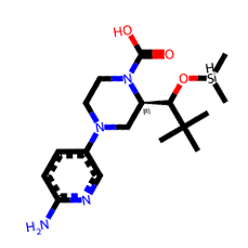 C[SiH](C)OC([C@H]1CN(c2ccc(N)nc2)CCN1C(=O)O)C(C)(C)C